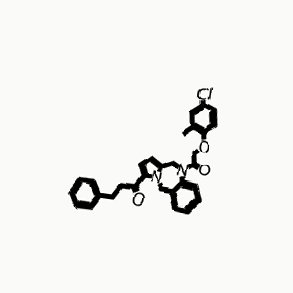 Cc1cc(Cl)ccc1OCC(=O)N1Cc2ccc(C(=O)CCc3ccccc3)n2Cc2ccccc21